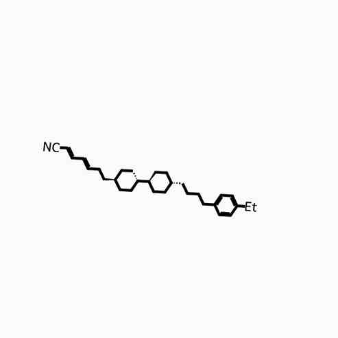 CCc1ccc(CCCC[C@H]2CC[C@H]([C@H]3CC[C@H](CCC=CC=CC#N)CC3)CC2)cc1